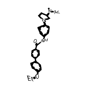 CCOc1ccc(-c2ccc(C(=O)Nc3ccc(N4CCC(N(C)C(C)=O)C4)cc3)cc2)cc1